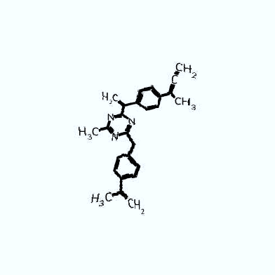 C=C=C(C)c1ccc(C(=C)c2nc(C)nc(Cc3ccc(C(=C)C)cc3)n2)cc1